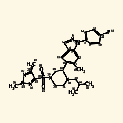 Cc1cc2c(cnn2-c2ccc(F)cc2)cc1C1CN(S(=O)(=O)c2nn(C)nc2C)CCN1CC(C)C